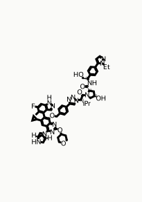 CCn1nccc1-c1ccc([C@H](CO)NC(=O)[C@@H]2C[C@@H](O)CN2C(=O)[C@H](C(C)C)n2cc(-c3ccc(COc4c(-c5c(C)c(F)cc6[nH]ncc56)c(C5CC5)cc5c(N6C[C@@H]7C[C@H]6CN7)nc(OC6CCOCC6)nc45)cc3)nn2)cc1